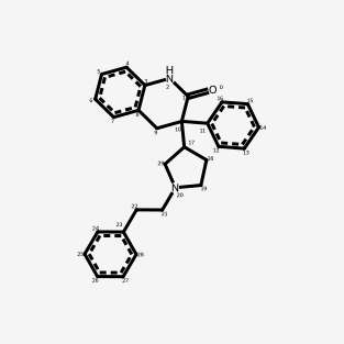 O=C1Nc2ccccc2CC1(c1ccccc1)C1CCN(CCc2ccccc2)C1